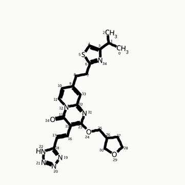 CC(C)c1csc(CCc2ccn3c(=O)c(C=Cc4nnn[nH]4)c(OCC4CCOC4)nc3c2)n1